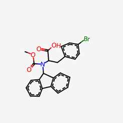 COC(=O)N(C(Cc1ccc(Br)cc1)C(=O)O)C1c2ccccc2-c2ccccc21